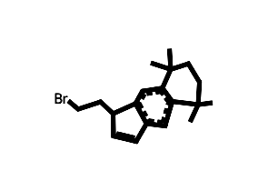 CC1(C)CCC(C)(C)c2cc3c(cc21)C=CC3CCBr